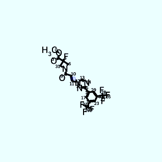 COC(=O)C1(F)CN(C(=O)/C=C/n2cnc(-c3cc(C(F)(F)F)cc(C(F)(F)F)c3)n2)C1